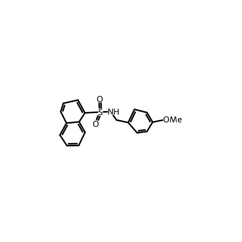 COc1ccc(CNS(=O)(=O)c2cccc3ccccc23)cc1